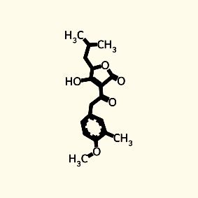 COc1ccc(CC(=O)C2=C(O)C(CC(C)C)OC2=O)cc1C